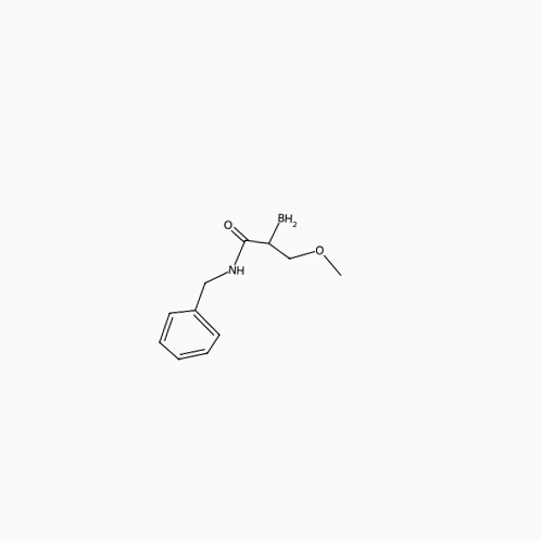 BC(COC)C(=O)NCc1ccccc1